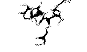 CC(C)(C)OC(=O)CO/N=C(\C(=O)NC1C(=O)N2C(C(=O)O)=C(Cl)CS[C@@H]12)c1nc(NC=O)sc1Cl